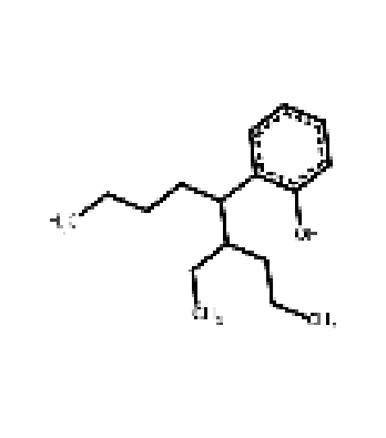 CCCCC(c1ccccc1O)C(CC)CCC